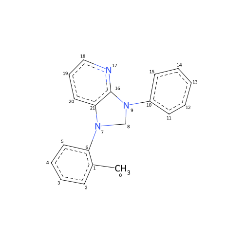 Cc1ccccc1N1CN(c2ccccc2)c2ncccc21